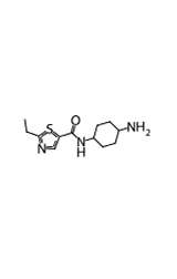 CCc1ncc(C(=O)NC2CCC(N)CC2)s1